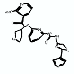 COc1ncccc1C(=O)C(Oc1cccc(NC(=O)Nc2csc(-c3ccncc3)n2)n1)C1CCNC1